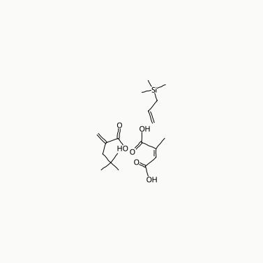 C/C(=C/C(=O)O)C(=O)O.C=C(CC(C)(C)C)C(=O)O.C=CC[Si](C)(C)C